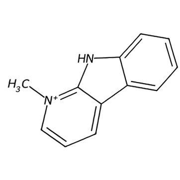 C[n+]1cccc2c3ccccc3[nH]c21